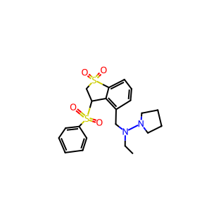 CCN(Cc1cccc2c1C(S(=O)(=O)c1ccccc1)CS2(=O)=O)N1CCCC1